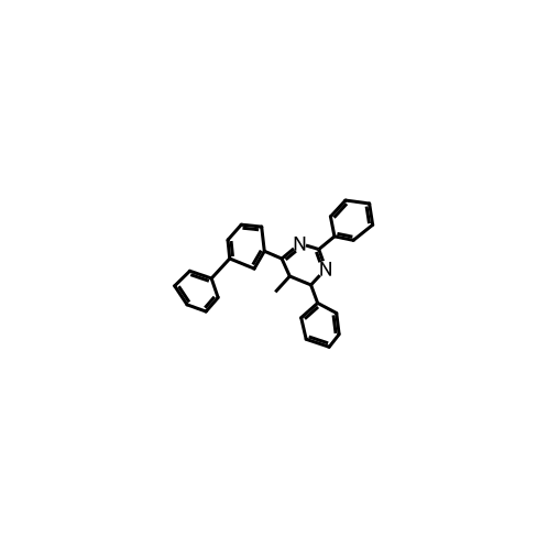 CC1C(c2cccc(-c3ccccc3)c2)=NC(c2ccccc2)=NC1c1ccccc1